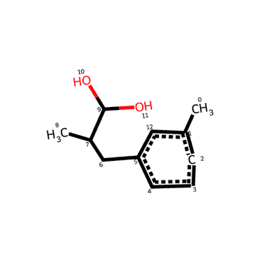 Cc1cccc(CC(C)C(O)O)c1